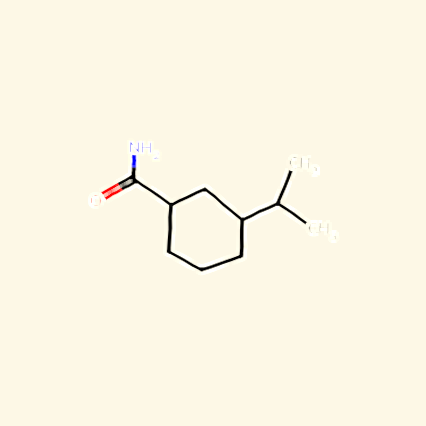 CC(C)C1CCCC(C(N)=O)C1